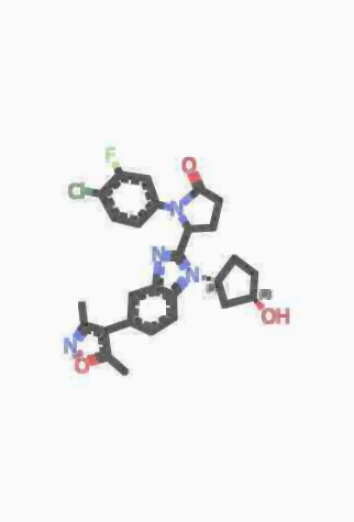 Cc1noc(C)c1-c1ccc2c(c1)nc(C1CCC(=O)N1c1ccc(Cl)c(F)c1)n2[C@@H]1CC[C@@H](O)C1